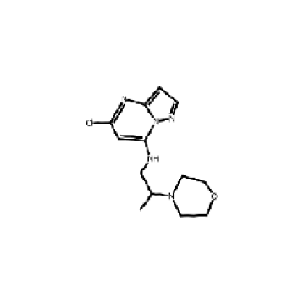 CC(CNc1cc(Cl)nc2ccnn12)N1CCOCC1